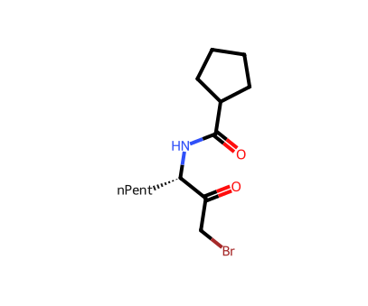 CCCCC[C@H](NC(=O)C1CCCC1)C(=O)CBr